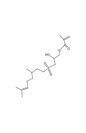 C=C(C)C(=O)OCC(O)CS(=O)(=O)CCC(C)CCC=C(C)C